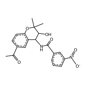 CC(=O)c1ccc2c(c1)C(NC(=O)c1cccc([N+](=O)[O-])c1)C(O)C(C)(C)O2